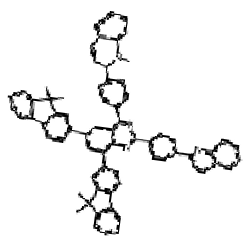 CN1c2ccccc2C=CC1c1ccc(-c2nc(-c3ccc(-c4ccc5ccccc5n4)cc3)nc3c(-c4ccc5c(c4)C(C)(C)c4ccccc4-5)cc(-c4ccc5c(c4)C(C)(C)c4ccccc4-5)cc23)cc1